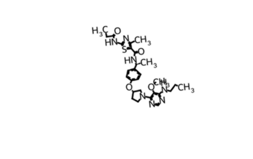 CCCNc1ncnc(N2CC[C@@H](Oc3ccc([C@H](C)NC(=O)c4sc(NC(=O)CC)nc4C)cc3)C2)c1OC